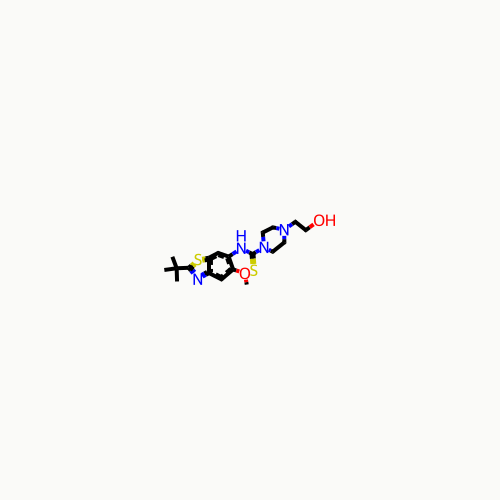 COc1cc2nc(C(C)(C)C)sc2cc1NC(=S)N1CCN(CCO)CC1